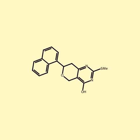 CSc1nc(O)c2c(n1)CC(c1cccc3ccccc13)OC2